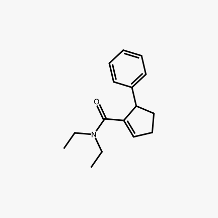 CCN(CC)C(=O)C1=CCCC1c1ccccc1